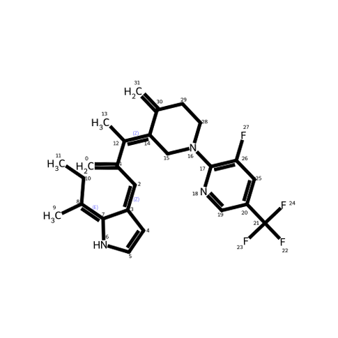 C=C(/C=c1/cc[nH]/c1=C(\C)CC)/C(C)=C1\CN(c2ncc(C(F)(F)F)cc2F)CCC1=C